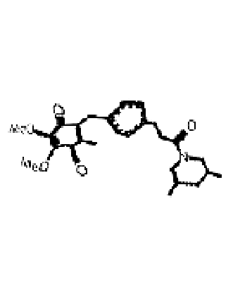 COC1=C(OC)C(=O)C(Cc2ccc(CCC(=O)N3CC(C)CC(C)C3)cc2)=C(C)C1=O